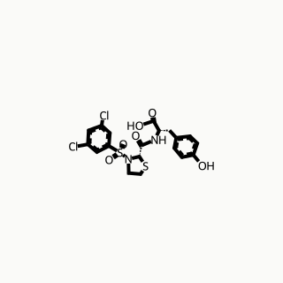 O=C(O)[C@H](Cc1ccc(O)cc1)NC(=O)[C@@H]1SCCN1S(=O)(=O)c1cc(Cl)cc(Cl)c1